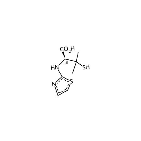 CC(C)(S)[C@@H](Nc1nccs1)C(=O)O